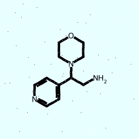 NCC(c1ccncc1)N1CCOCC1